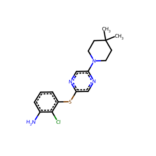 CC1(C)CCN(c2cnc(Sc3cccc(N)c3Cl)cn2)CC1